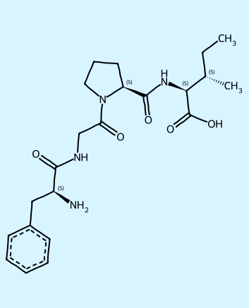 CC[C@H](C)[C@H](NC(=O)[C@@H]1CCCN1C(=O)CNC(=O)[C@@H](N)Cc1ccccc1)C(=O)O